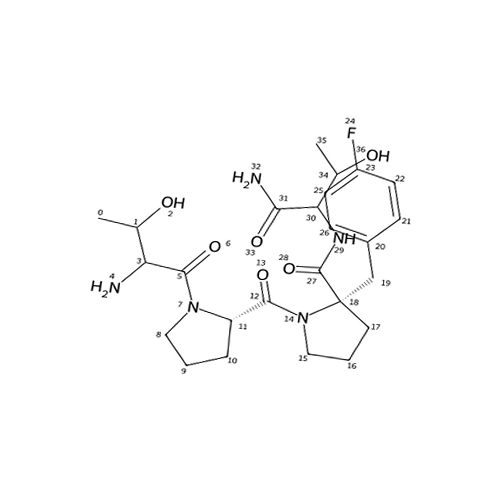 CC(O)C(N)C(=O)N1CCC[C@H]1C(=O)N1CCC[C@]1(Cc1ccc(F)cc1)C(=O)NC(C(N)=O)C(C)O